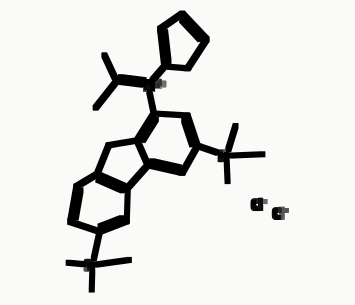 C[C](C)=[Zr+2]([C]1=CC=CC1)[c]1cc([Si](C)(C)C)cc2c1Cc1ccc([Si](C)(C)C)cc1-2.[Cl-].[Cl-]